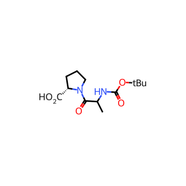 CC(NC(=O)OC(C)(C)C)C(=O)N1CCC[C@H]1C(=O)O